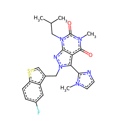 CC(C)Cn1c(=O)n(C)c(=O)c2c(-c3nccn3C)n(Cc3csc4ccc(F)cc34)nc21